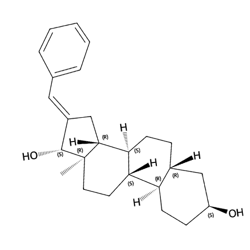 C[C@@]12CC[C@H]3[C@@H]4CC[C@H](O)C[C@H]4CC[C@@H]3[C@H]1CC(=Cc1ccccc1)[C@H]2O